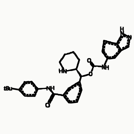 CC(C)(C)c1ccc(NC(=O)c2cccc(C(OC(=O)Nc3ccc4[nH]ncc4c3)[C@@H]3CCCCN3)c2)cc1